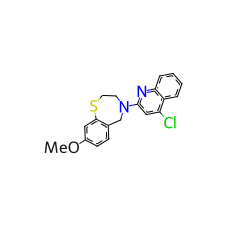 COc1ccc2c(c1)SCCN(c1cc(Cl)c3ccccc3n1)C2